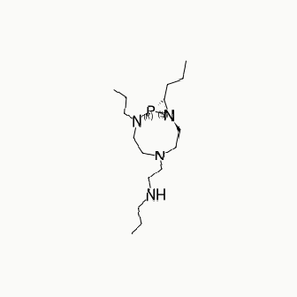 CCCNCCN1CCN(CCC)[P@]2C(CCC)[N@@]2CC1